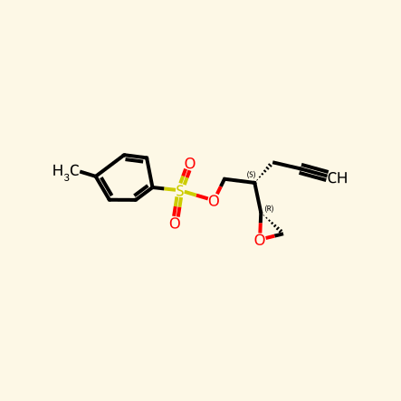 C#CC[C@@H](COS(=O)(=O)c1ccc(C)cc1)[C@@H]1CO1